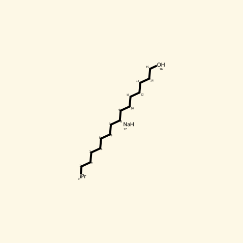 CC(C)CCCCCCCCCCCCCCCO.[NaH]